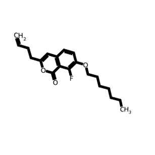 C=CCCc1cc2ccc(OCCCCCCC)c(F)c2c(=O)o1